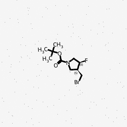 CC(C)(C)OC(=O)N1C[C@H](CBr)[C@H](F)C1